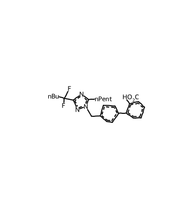 CCCCCc1nc(C(F)(F)CCCC)nn1Cc1ccc(-c2ccccc2C(=O)O)cc1